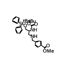 COC(=O)c1ccc(CNCC(CO[Si](c2ccccc2)(c2ccccc2)C(C)(C)C)NC(=O)OC(C)(C)C)cc1